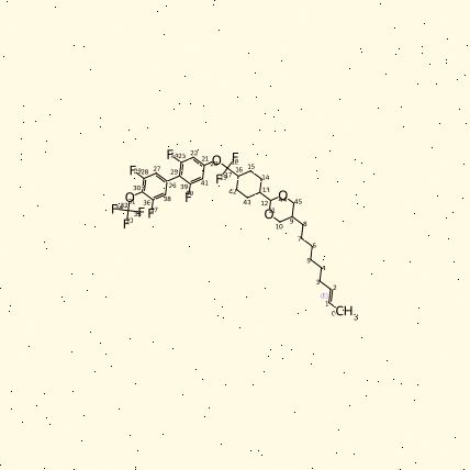 C/C=C/CCCCCCC1COC(C2CCC(C(F)(F)Oc3cc(F)c(-c4cc(F)c(OC(F)(F)F)c(F)c4)c(F)c3)CC2)OC1